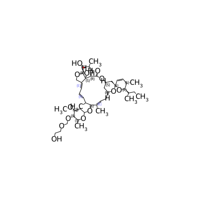 CCC(C)[C@H]1O[C@]2(C=C[C@@H]1C)C[C@@H]1C[C@@H](C/C=C(\C)[C@@H](OC3C[C@H](OC)[C@@H](OCOCCO)[C@H](C)O3)C(C)/C=C/C=C3\CO[C@@H]4[C@H](O)C(C)=C[C@@H](C(=O)O1)[C@]34O)O2